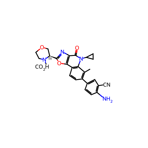 Cc1c(-c2ccc(N)c(C#N)c2)ccc2c3oc([C@@H]4COCCN4C(=O)O)nc3c(=O)n(C3CC3)c12